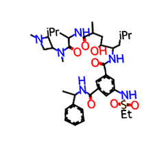 CCS(=O)(=O)Nc1cc(C(=O)NC(C)c2ccccc2)cc(C(=O)NC(CC(C)C)C(O)CC(C)C(=O)NC(C(=O)N(C)C2CN(C)C2)C(C)C)c1